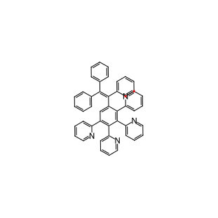 c1ccc(C(=C(c2ccccc2)c2cc(-c3ccccn3)c(-c3ccccn3)c(-c3ccccn3)c2-c2ccccn2)c2ccccc2)cc1